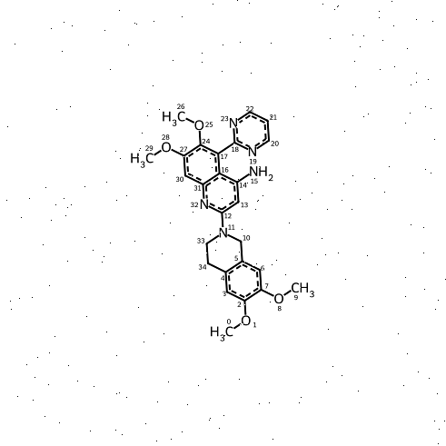 COc1cc2c(cc1OC)CN(c1cc(N)c3c(-c4ncccn4)c(OC)c(OC)cc3n1)CC2